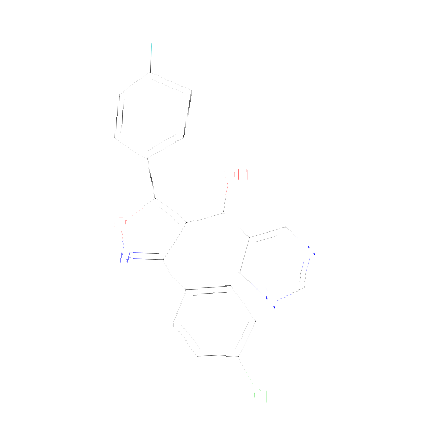 OC(c1cncnc1)c1c(-c2ccc(Cl)cc2)noc1-c1ccc(F)cc1